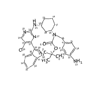 CC(C)(C)OC(=O)N(Cc1ccc(N)cc1)[C@H]1CCC[C@@H](Nc2ncc(Cl)c(C3=CCc4ccccc43)n2)C1